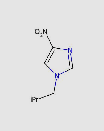 CC(C)Cn1cnc([N+](=O)[O-])c1